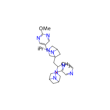 COc1ncc(CN2C3CN(C(C)C)CC2(CC(C)N2CC4CC(C2)N4Cc2cnccn2)C3)cn1